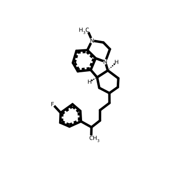 CC(CCCC1CC[C@H]2[C@@H](C1)c1cccc3c1N2CCN3C)c1ccc(F)cc1